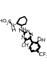 Cc1nc(N[C@@H]2CCCC[C@H]2NC(=O)O)nnc1-c1ccc(C(F)(F)F)cc1O